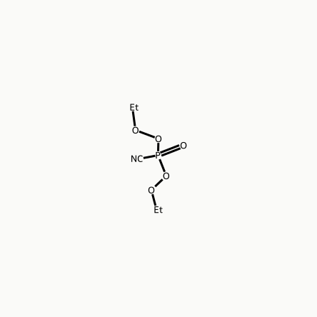 CCOOP(=O)(C#N)OOCC